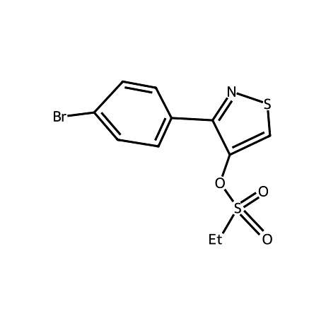 CCS(=O)(=O)Oc1csnc1-c1ccc(Br)cc1